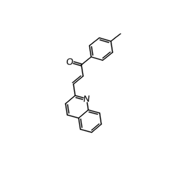 Cc1ccc(C(=O)C=Cc2ccc3ccccc3n2)cc1